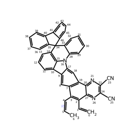 C=Cc1c(/C=C\C)c2cc3c4cccc5c4n(c3cc2c2nc(C#N)c(C#N)nc12)-c1ccccc1C51c2ccccc2-c2ccccc21